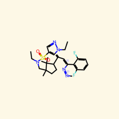 C=C(/C=C(\N=N/C)c1c(F)cccc1F)C1CCC(C)(CN(CC)S(=O)(=O)c2cnn(CC)c2)C1(C)C